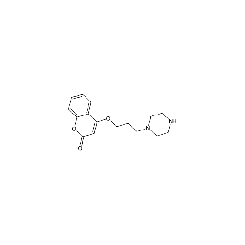 O=c1cc(OCCCN2CCNCC2)c2ccccc2o1